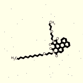 CCCCCCCCCCCCOCCCN1C(=O)c2ccc3c4cccc5cccc(c54)c4c5c(=O)n(CCCOCCCC)c(=O)c5c(c2c34)C1=O